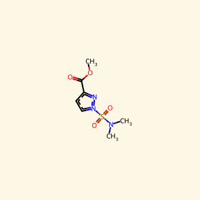 COC(=O)c1ccn(S(=O)(=O)N(C)C)n1